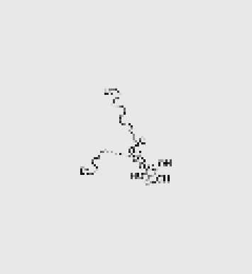 CC/C=C\C/C=C\C/C=C\C/C=C\C/C=C\CCCC(=O)OC[C@H](CO[C@@H]1O[C@H](CO)[C@H](O)C(O)C1O)OC(=O)CCCCC/C=C\C/C=C\C/C=C\CC